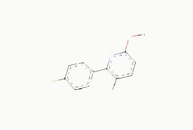 CC(C)Oc1ccc(C(=O)O)c(-c2ccc(F)cc2)n1